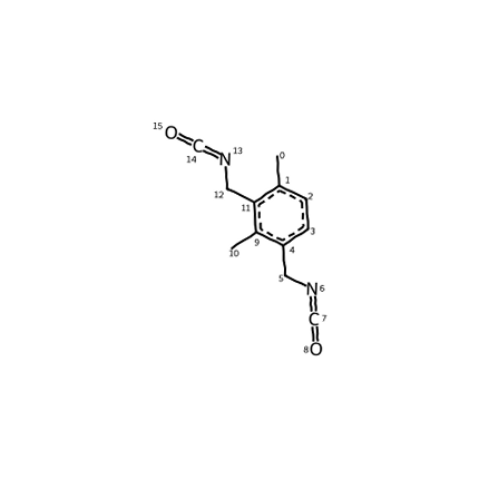 Cc1ccc(CN=C=O)c(C)c1CN=C=O